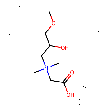 COCC(O)C[N+](C)(C)CC(=O)O